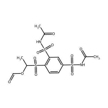 CC(=O)NS(=O)(=O)c1ccc(S(=O)(=O)C(C)O[C]=O)c(S(=O)(=O)NC(C)=O)c1